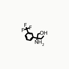 CC[C@@](N)(CO)c1cccc(C(F)(F)F)c1